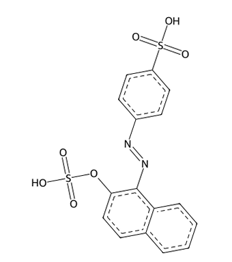 O=S(=O)(O)Oc1ccc2ccccc2c1N=Nc1ccc(S(=O)(=O)O)cc1